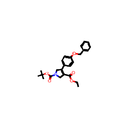 CCOC(=O)C1=C(c2ccc(OCc3ccccc3)cc2)CN(C(=O)OC(C)(C)C)C1